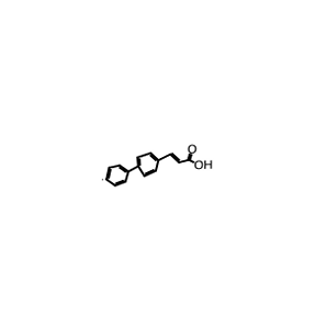 O=C(O)C=Cc1ccc(-c2cc[c]cc2)cc1